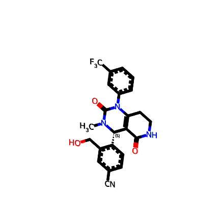 CN1C(=O)N(c2cccc(C(F)(F)F)c2)C2=C(C(=O)NCC2)[C@@H]1c1ccc(C#N)cc1CO